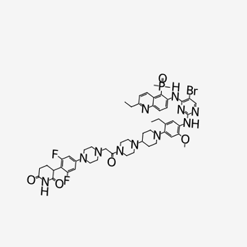 CCc1ccc2c(P(C)(C)=O)c(Nc3nc(Nc4cc(CC)c(N5CCC(N6CCN(C(=O)CN7CCN(c8cc(F)c(C9CCC(=O)NC9=O)c(F)c8)CC7)CC6)CC5)cc4OC)ncc3Br)ccc2n1